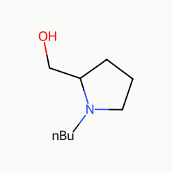 CCCCN1CCCC1CO